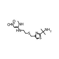 CN/C(=C\[N+](=O)[O-])NCCSCc1csc(C(C)(C)N)n1